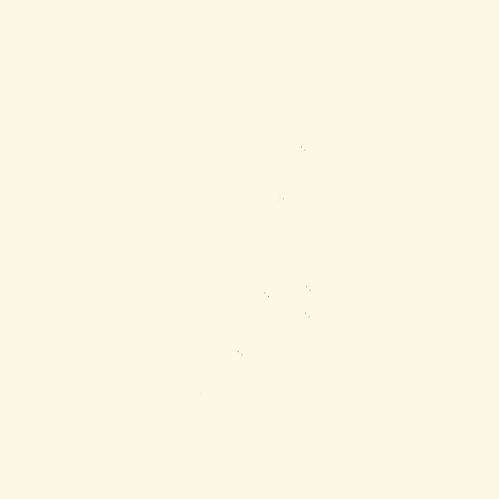 Cc1cc(C)nc(N2CCC(c3nnc4n3-c3ccc(Cl)cc3CN(C(C)C(F)(F)F)C4)CC2)c1